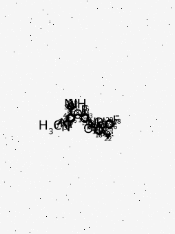 CCn1ncc2cc(Oc3ccc(NC(=O)c4ccc(C5CC5)n(-c5ccc(F)cc5)c4=O)cc3F)c(-c3cn[nH]c3)cc21